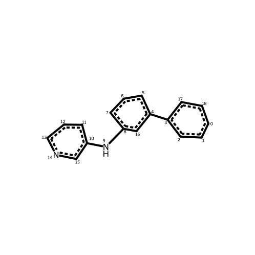 c1ccc(-c2cccc(Nc3cccnc3)c2)cc1